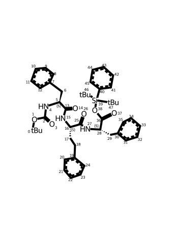 CC(C)(C)OC(=O)N[C@@H](Cc1ccccc1)C(=O)N[C@@H](CCc1ccccc1)C(=O)N[C@@H](Cc1ccccc1)C(=O)O[Si](c1ccccc1)(C(C)(C)C)C(C)(C)C